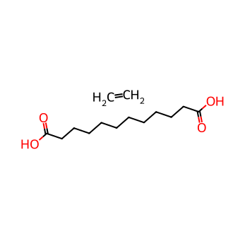 C=C.O=C(O)CCCCCCCCCCC(=O)O